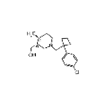 C[C@H]1CCN(CC2(c3ccc(Cl)cc3)CCC2)C[C@@H]1CO